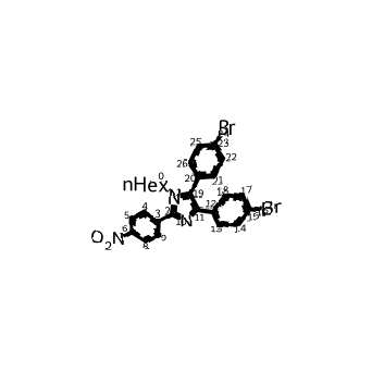 CCCCCCn1c(-c2ccc([N+](=O)[O-])cc2)nc(-c2ccc(Br)cc2)c1-c1ccc(Br)cc1